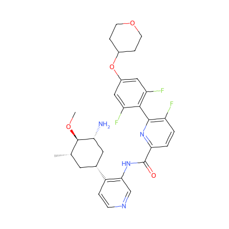 CO[C@H]1[C@H](N)C[C@H](c2ccncc2NC(=O)c2ccc(F)c(-c3c(F)cc(OC4CCOCC4)cc3F)n2)C[C@@H]1C